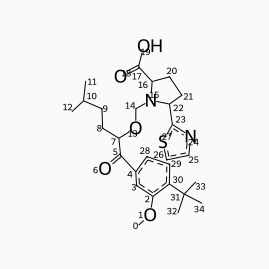 COc1cc(C(=O)C(CCC(C)C)OCN2C(C(=O)O)CCC2c2nccs2)ccc1C(C)(C)C